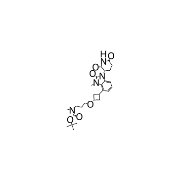 CN(CCCOC1CC(c2cccc3c2n(C)c(=O)n3C2CCC(=O)NC2=O)C1)C(=O)OC(C)(C)C